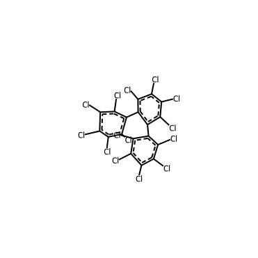 Clc1c(Cl)c(Cl)c(-c2c(Cl)c(Cl)c(Cl)c(Cl)c2-c2c(Cl)c(Cl)c(Cl)c(Cl)c2Cl)c(Cl)c1Cl